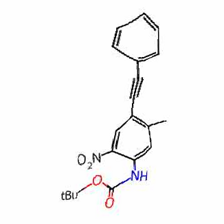 Cc1cc(NC(=O)OC(C)(C)C)c([N+](=O)[O-])cc1C#Cc1ccccc1